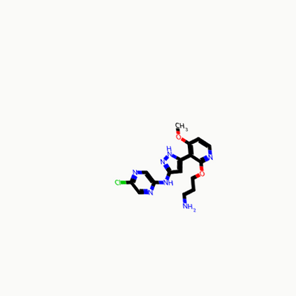 COc1ccnc(OCCCN)c1-c1cc(Nc2cnc(Cl)cn2)n[nH]1